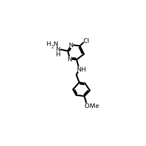 COc1ccc(CNc2cc(Cl)nc(NN)n2)cc1